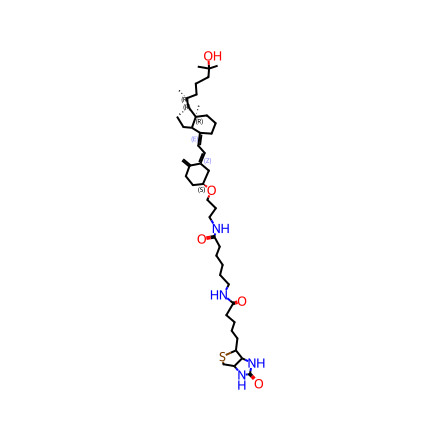 C=C1CC[C@H](OCCCNC(=O)CCCCCNC(=O)CCCCC2SCC3NC(=O)NC32)C/C1=C/C=C1\CCC[C@@]2(C)C1CC[C@@H]2[C@H](C)CCCC(C)(C)O